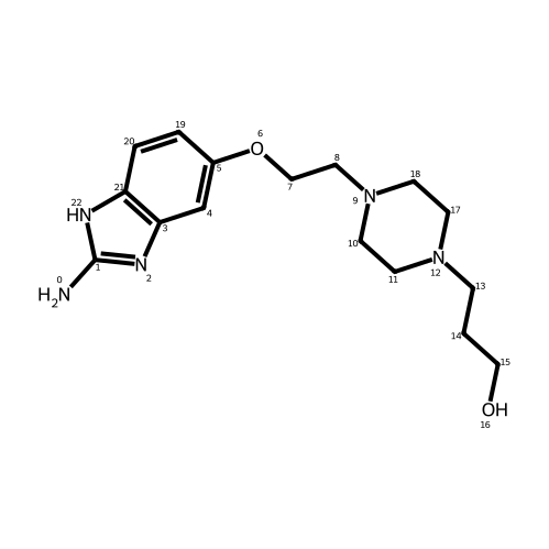 Nc1nc2cc(OCCN3CCN(CCCO)CC3)ccc2[nH]1